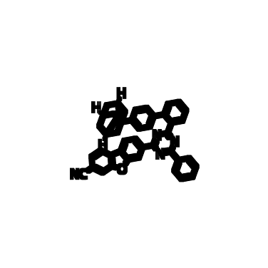 N#Cc1ccc2c(c1)oc1cc(-c3nc(-c4ccccc4)nc(-c4ccccc4-c4ccc(C56C[C@H]7C[C@@H](C5)C[C@@H](C6)C7)cc4)n3)ccc12